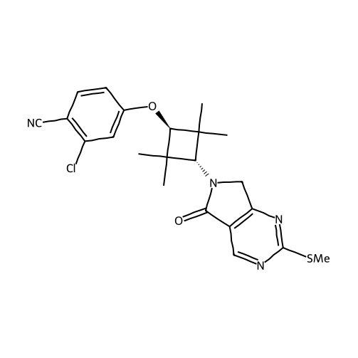 CSc1ncc2c(n1)CN([C@H]1C(C)(C)[C@H](Oc3ccc(C#N)c(Cl)c3)C1(C)C)C2=O